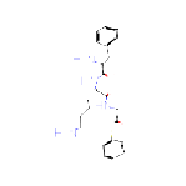 NCCCC[C@H](NC(=O)[C@@H](N)Cc1ccccc1)C(=O)NCC(=O)Sc1ccccc1